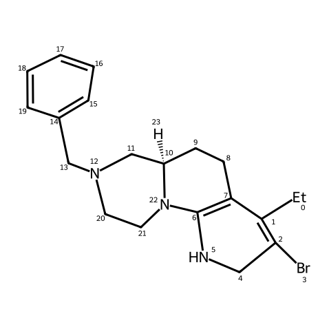 CCC1=C(Br)CNC2=C1CC[C@@H]1CN(Cc3ccccc3)CCN21